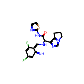 N=C1C=C(Br)C=C(F)/C1=C/NC(C(=O)Nc1nccs1)c1ncn2c1CCC2